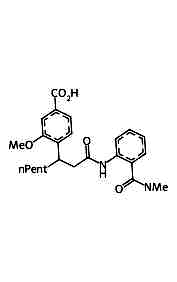 CCCCCC(CC(=O)Nc1ccccc1C(=O)NC)c1ccc(C(=O)O)cc1OC